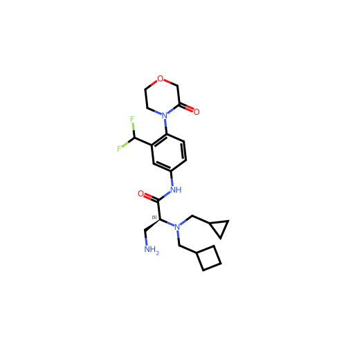 NC[C@@H](C(=O)Nc1ccc(N2CCOCC2=O)c(C(F)F)c1)N(CC1CCC1)CC1CC1